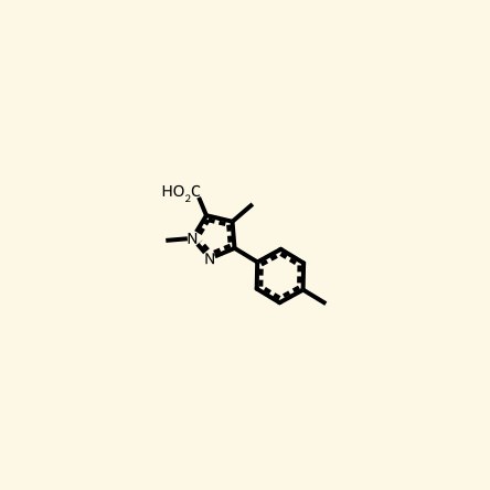 Cc1ccc(-c2nn(C)c(C(=O)O)c2C)cc1